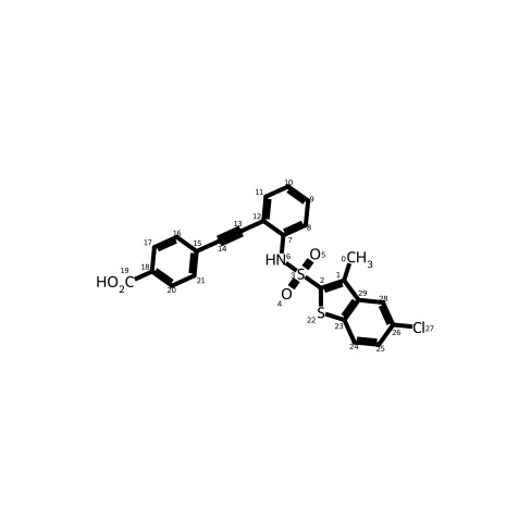 Cc1c(S(=O)(=O)Nc2ccccc2C#Cc2ccc(C(=O)O)cc2)sc2ccc(Cl)cc12